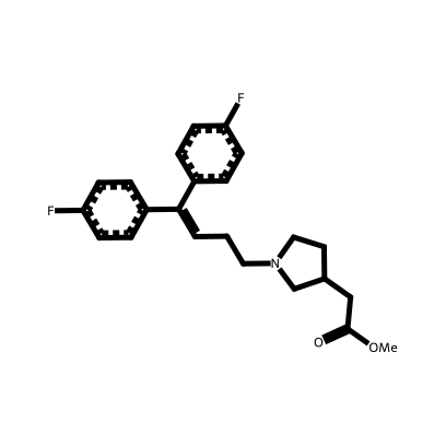 COC(=O)CC1CCN(CCC=C(c2ccc(F)cc2)c2ccc(F)cc2)C1